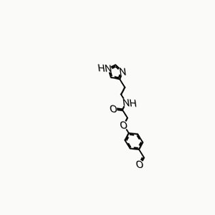 O=Cc1ccc(OCC(=O)NCCc2c[nH]cn2)cc1